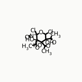 [C-]#[N+]C1(Cl)OC(Cl)[C@@](O)(C(C)=O)[C@@](O)(C(C)=O)[C@]1(O)C(C)=O